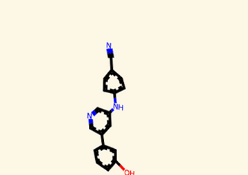 N#Cc1ccc(Nc2cncc(-c3cccc(O)c3)c2)cc1